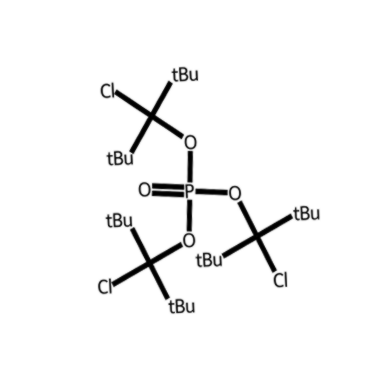 CC(C)(C)C(Cl)(OP(=O)(OC(Cl)(C(C)(C)C)C(C)(C)C)OC(Cl)(C(C)(C)C)C(C)(C)C)C(C)(C)C